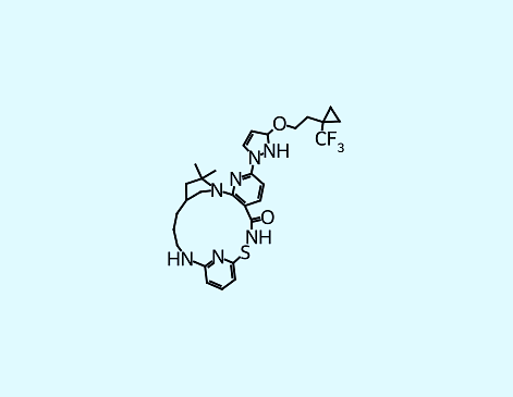 CC1(C)CC2CCCNc3cccc(n3)SNC(=O)c3ccc(N4C=CC(OCCC5(C(F)(F)F)CC5)N4)nc3N1C2